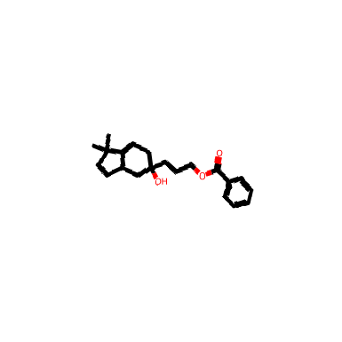 CC1(C)CCC2CC(O)(CCCOC(=O)c3ccccc3)CCC21